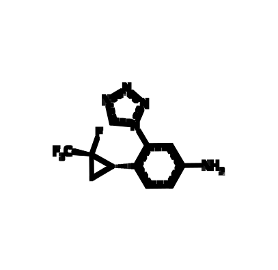 Nc1ccc([C@@H]2C[C@@]2(F)C(F)(F)F)c(-n2cnnn2)c1